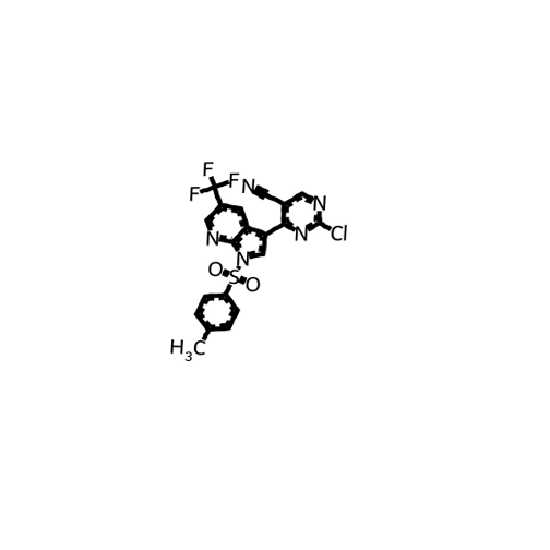 Cc1ccc(S(=O)(=O)n2cc(-c3nc(Cl)ncc3C#N)c3cc(C(F)(F)F)cnc32)cc1